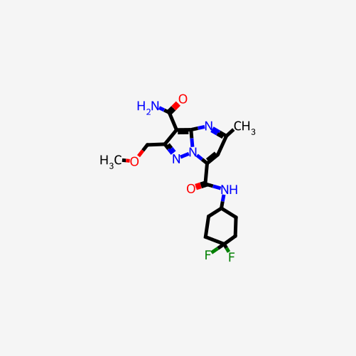 COCc1nn2c(C(=O)NC3CCC(F)(F)CC3)cc(C)nc2c1C(N)=O